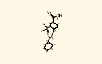 CS(=O)(=O)c1cc(C(=O)O)ccc1OCc1ccccc1